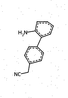 N#CCc1ccc(-c2ccccc2N)cc1